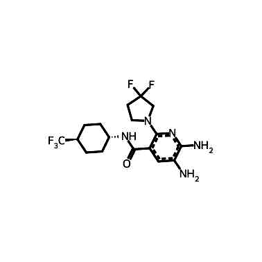 Nc1cc(C(=O)N[C@H]2CC[C@H](C(F)(F)F)CC2)c(N2CCC(F)(F)C2)nc1N